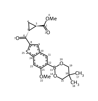 COC(=O)[C@@H]1C[C@H]1C(=O)c1cc2cc(B3OCC(C)(C)CO3)c(OC)cc2s1